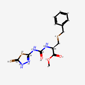 COC(=O)[C@H](CSCc1ccccc1)NC(=O)Nc1n[nH]c(=S)s1